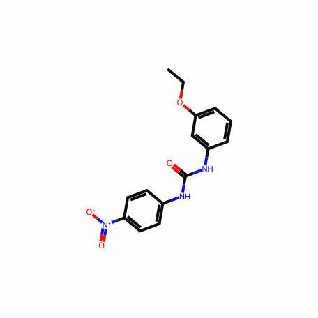 CCOc1cccc(NC(=O)Nc2ccc([N+](=O)[O-])cc2)c1